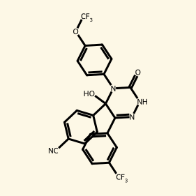 N#Cc1ccc(C2(O)C(c3cccc(C(F)(F)F)c3)=NNC(=O)N2c2ccc(OC(F)(F)F)cc2)cc1